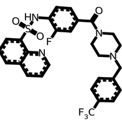 O=C(c1ccc(NS(=O)(=O)c2cccc3cccnc23)c(F)c1)N1CCN(Cc2ccc(C(F)(F)F)cc2)CC1